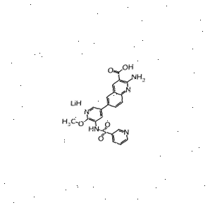 COc1ncc(-c2ccc3nc(N)c(C(=O)O)cc3c2)cc1NS(=O)(=O)c1cccnc1.[LiH]